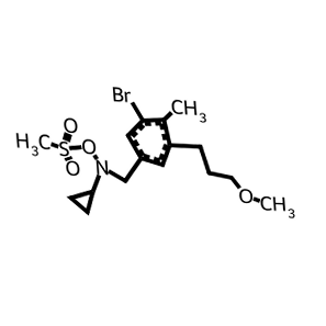 COCCCc1cc(CN(OS(C)(=O)=O)C2CC2)cc(Br)c1C